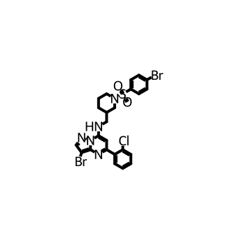 O=S(=O)(c1ccc(Br)cc1)N1CCCC(CNc2cc(-c3ccccc3Cl)nc3c(Br)cnn23)C1